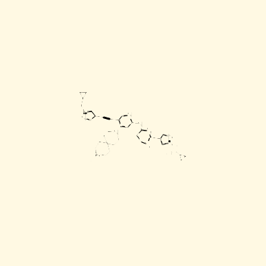 CN1CCC2(CC1)CCN(c1cc(Nc3ccnc(-c4cnn(S(=O)(=O)C5CC5)c4)n3)ncc1C#Cc1cnn(CC3CC3)c1)CC2